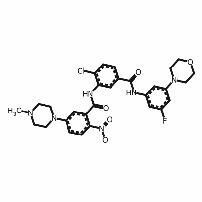 CN1CCN(c2ccc([N+](=O)[O-])c(C(=O)Nc3cc(C(=O)Nc4cc(F)cc(N5CCOCC5)c4)ccc3Cl)c2)CC1